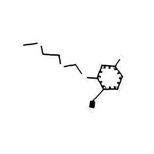 COCCOCOc1cc(N)ccc1C#N